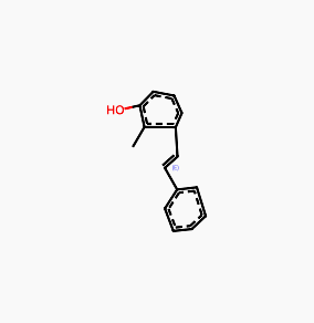 Cc1c(O)cccc1/C=C/c1ccccc1